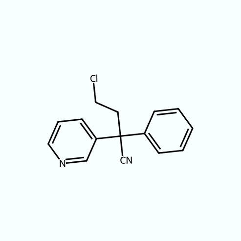 N#CC(CCCl)(c1ccccc1)c1cccnc1